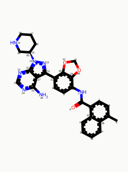 Cc1ccc(C(=O)Nc2ccc(-c3nn([C@@H]4CCCNC4)c4ncnc(N)c34)c3c2OCO3)c2ccccc12